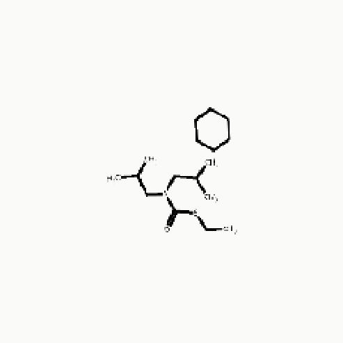 C1CCCCC1.CCSC(=O)N(CC(C)C)CC(C)C